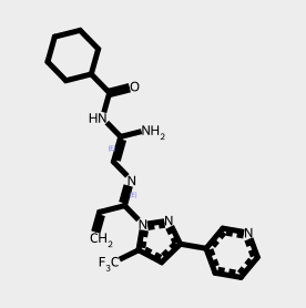 C=C/C(=N\C=C(/N)NC(=O)C1CCCCC1)n1nc(-c2cccnc2)cc1C(F)(F)F